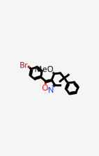 COC(CC(C)(C)c1ccccc1)c1c(C)noc1-c1ccc(Br)cc1